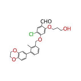 Cc1c(COc2cc(OCCCO)c(C=O)cc2Cl)cccc1-c1ccc2c(c1)OCCO2